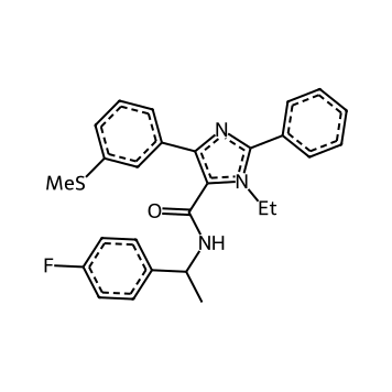 CCn1c(-c2ccccc2)nc(-c2cccc(SC)c2)c1C(=O)NC(C)c1ccc(F)cc1